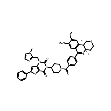 CCOc1cc2c(cc1OC)C(c1ccc(C(=O)N3CCC(n4c(=O)c5sc(-c6ccccc6)cc5n(Cc5nccn5C)c4=O)CC3)cc1)=N[C@@H]1CCSC[C@H]21